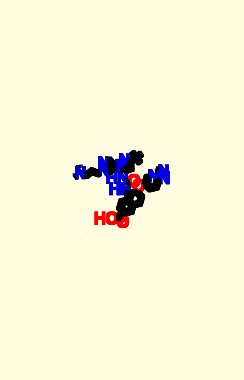 CN(C)CCCn1cc(-n2nc(C(C)(C)C)cc2NC(=O)N[C@H]2c3ccccc3CCC2Oc2ccc3nncn3c2)cn1.O=CO